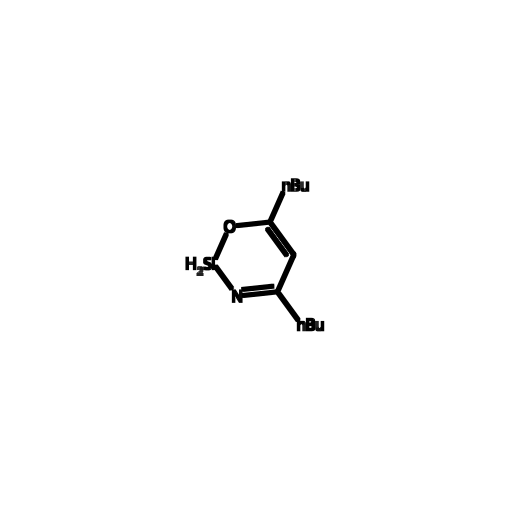 CCCCC1=CC(CCCC)=N[SiH2]O1